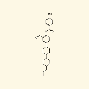 CCCC1CCC(C2CCC(c3ccc(OC(=O)c4ccc(O)cc4)c(C=O)c3)CC2)CC1